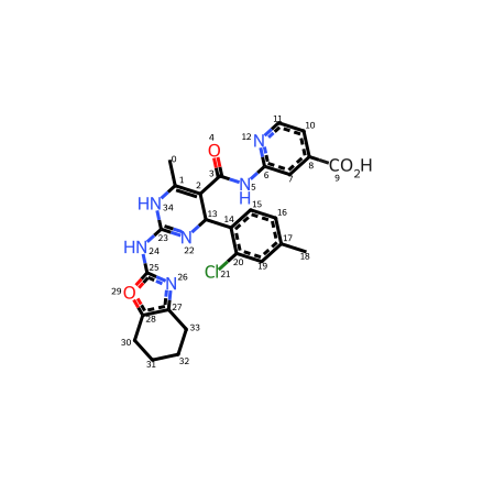 CC1=C(C(=O)Nc2cc(C(=O)O)ccn2)C(c2ccc(C)cc2Cl)N=C(Nc2nc3c(o2)CCCC3)N1